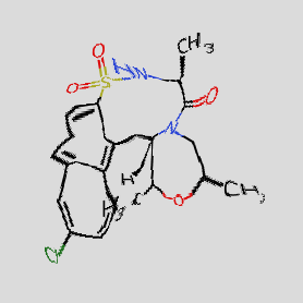 CC1CN2C(=O)[C@H](C)NS(=O)(=O)c3ccc4cc(Cl)ccc4c3[C@H]2C(C)O1